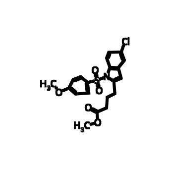 COC(=O)CCCc1cc2cc(Cl)ccc2n1S(=O)(=O)c1ccc(OC)cc1